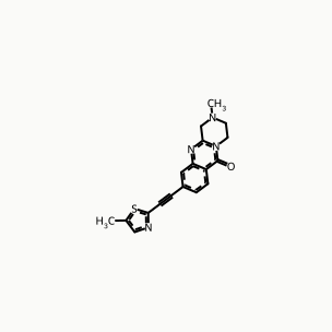 Cc1cnc(C#Cc2ccc3c(=O)n4c(nc3c2)CN(C)CC4)s1